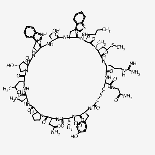 CCCC[C@H]1C(=O)N(C)[C@@H](CCSC)C(=O)N[C@@H](CCCNC(=N)N)C(=O)NC(C(=O)NCC(N)=O)CSCC(=O)N[C@@H](Cc2ccc(O)cc2)C(=O)N(C)[C@@H](C)C(=O)N[C@@H](CC(N)=O)C(=O)N2CCC[C@H]2C(=O)N[C@@H](CN)C(=O)N[C@@H](CC(C)C)C(=O)N2C[C@H](O)C[C@H]2C(=O)N[C@@H](Cc2c[nH]c3ccccc23)C(=O)N[C@@H](CO)C(=O)N[C@@H](Cc2csc3ccccc23)C(=O)N1C